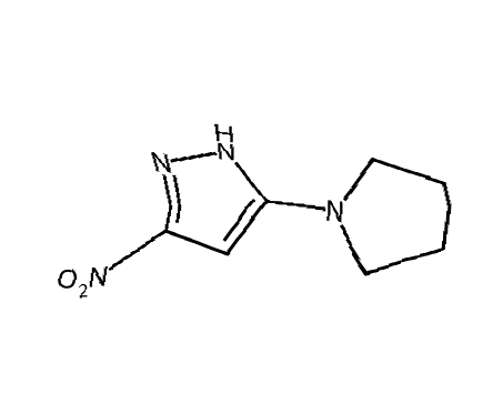 O=[N+]([O-])c1cc(N2CCCC2)[nH]n1